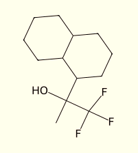 CC(O)(C1CCCC2CCCCC21)C(F)(F)F